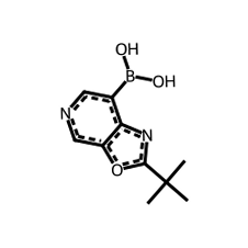 CC(C)(C)c1nc2c(B(O)O)cncc2o1